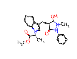 COC(=O)C(C)n1cc(/C=C2\C(=O)N(c3ccccc3)N(C)C2O)c2ccccc21